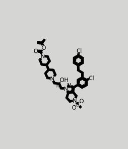 C=C(C)OC(=O)N1CCC(C2CCN(C[C@H](O)Cn3nc(-c4ccc(Cl)c(CCc5ccc(Cl)cc5)c4)c4c3CCN(S(C)(=O)=O)C4)CC2)CC1